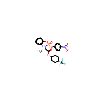 C[C@H](NP(=O)(Oc1ccccc1)Oc1ccc([N+](=O)[O-])cc1)C(=O)O[C@H]1CC[C@H](C(F)(F)F)CC1